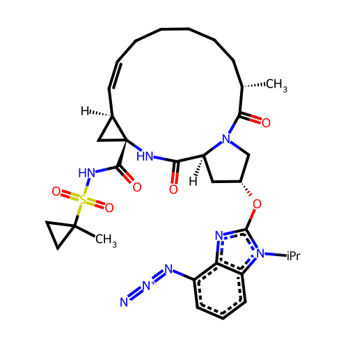 CC(C)n1c(O[C@@H]2C[C@H]3C(=O)N[C@]4(C(=O)NS(=O)(=O)C5(C)CC5)C[C@H]4/C=C\CCCCC[C@H](C)C(=O)N3C2)nc2c(N=[N+]=[N-])cccc21